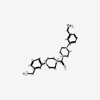 NCc1cccc(N2CCN(C(=O)N3CCN(c4cccc(CN)c4)CC3)CC2)c1